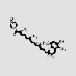 C/C(=C\CC/C(C)=C/CCC1(C)CCc2c(C)c(O)cc(C)c2O1)CC/C=C(\C)C(=O)N1CCN(C)CC1